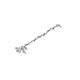 CCC=CCC=CCC=CCC=CCC=CCCCC=CC(=O)OC(C)(C)C